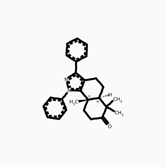 CC1(C)C(=O)CC[C@]2(C)c3c(c(-c4ccccc4)nn3-c3ccccc3)CC[C@@H]12